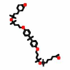 CC(C)(c1ccc(OCCC[Si](C)(C)O[Si](C)(C)CCCCC2CO2)cc1)c1ccc(OCCC[Si](C)(C)O[Si](C)(C)CCC2CCC3OC3C2)cc1